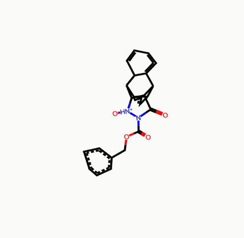 O=C(OCc1ccccc1)N1C(=O)C2C3C4=C=CC=CC4C(C4C=C=CC43)C2[NH+]1[O-]